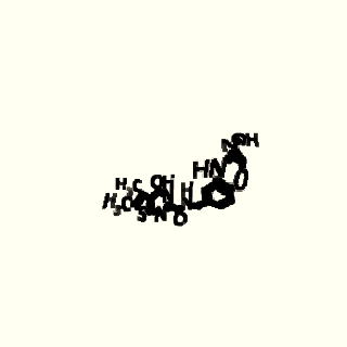 Cc1sc2nc(C(=O)NCc3ccc4c(c3)N/C(=N/O)CO4)[nH]c(=O)c2c1C